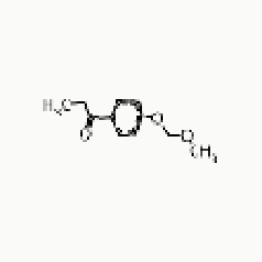 CCC(=O)c1ccc(OCOC)cc1